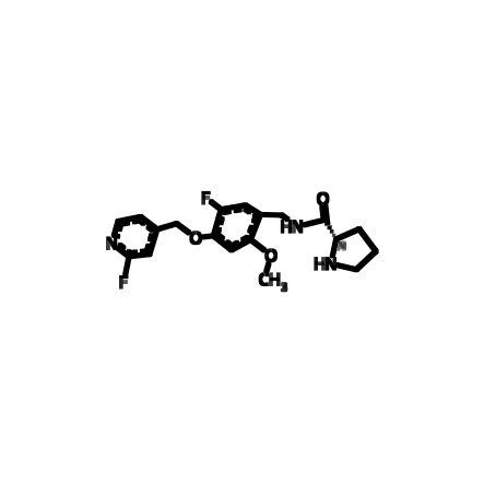 COc1cc(OCc2ccnc(F)c2)c(F)cc1CNC(=O)[C@@H]1CCCN1